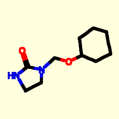 O=C1NCCN1COC1CCCCC1